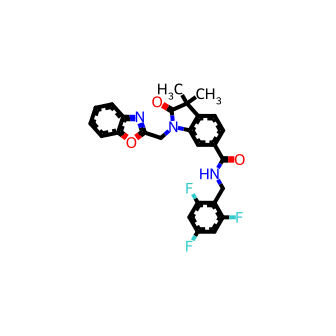 CC1(C)C(=O)N(Cc2nc3ccccc3o2)c2cc(C(=O)NCc3c(F)cc(F)cc3F)ccc21